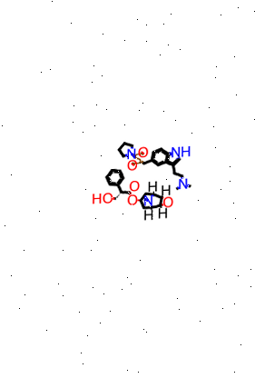 CN(C)CCc1c[nH]c2ccc(CS(=O)(=O)N3CCCC3)cc12.CN1[C@@H]2C[C@@H](OC(=O)[C@H](CO)c3ccccc3)C[C@H]1[C@@H]1O[C@@H]12